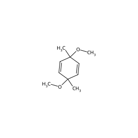 COC1(C)C=CC(C)(OC)C=C1